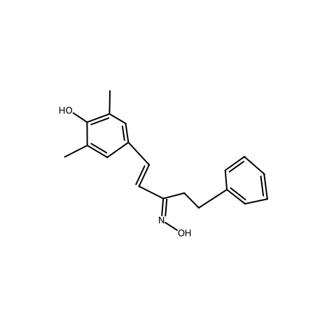 Cc1cc(/C=C/C(CCc2ccccc2)=N/O)cc(C)c1O